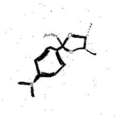 CC(=O)NC1(c2ccc(N(C)C)cc2)O[C@H](C)[C@@H](C)O1